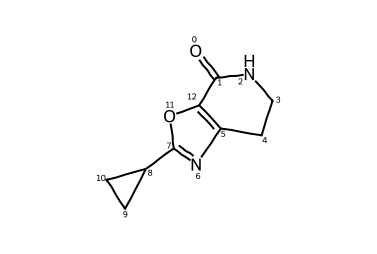 O=C1NCCc2nc(C3CC3)oc21